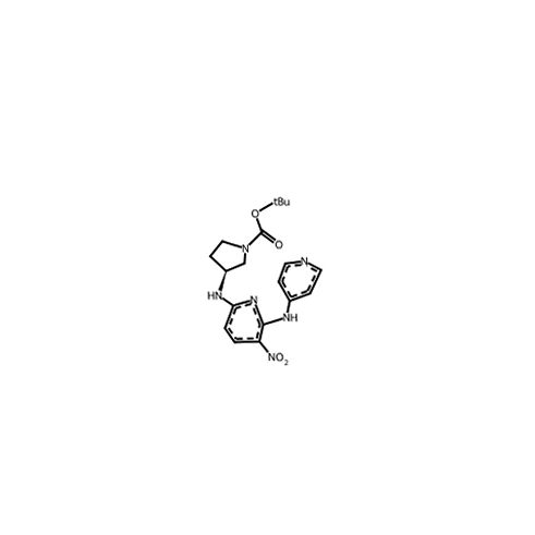 CC(C)(C)OC(=O)N1CC[C@H](Nc2ccc([N+](=O)[O-])c(Nc3ccncc3)n2)C1